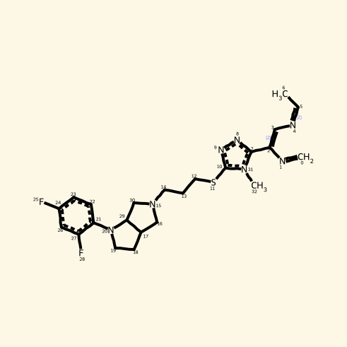 C=N/C(=C\N=C/C)c1nnc(SCCCN2CC3CCN(c4ccc(F)cc4F)C3C2)n1C